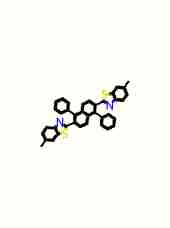 Cc1ccc2nc(-c3ccc4c(-c5ccccc5)c(-c5nc6ccc(C)cc6s5)ccc4c3-c3ccccc3)sc2c1